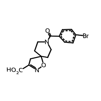 O=C(O)C1=NOC2(CCN(C(=O)c3ccc(Br)cc3)CC2)C1